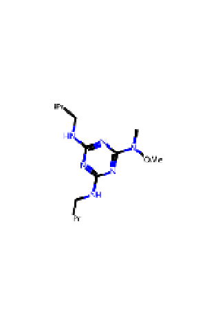 CON(C)c1nc(NCC(C)C)nc(NCC(C)C)n1